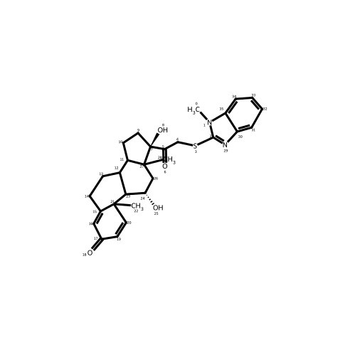 Cn1c(SCC(=O)[C@@]2(O)CCC3C4CCC5=CC(=O)C=CC5(C)C4[C@@H](O)CC32C)nc2ccccc21